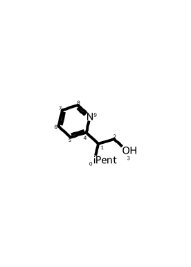 CCCC(C)C(CO)c1ccccn1